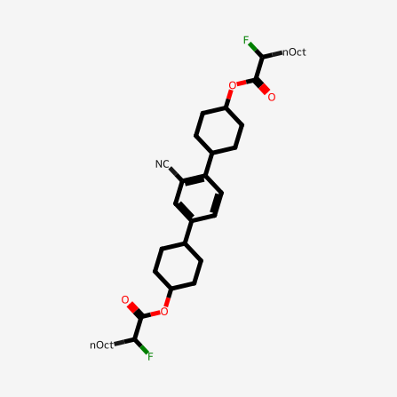 CCCCCCCCC(F)C(=O)OC1CCC(c2ccc(C3CCC(OC(=O)C(F)CCCCCCCC)CC3)c(C#N)c2)CC1